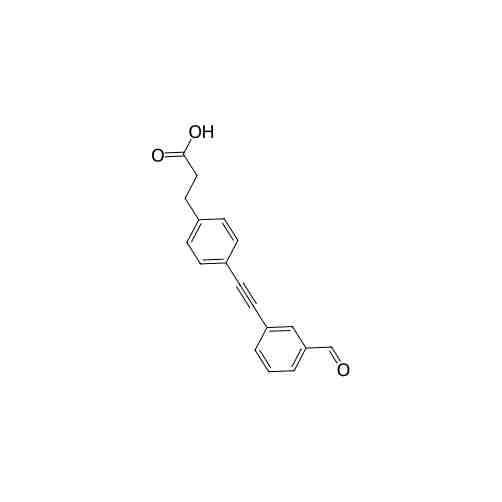 O=Cc1cccc(C#Cc2ccc(CCC(=O)O)cc2)c1